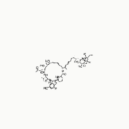 CC[C@H]1C[C@@H]2C[C@H]3[C@@H](O)[C@@H](C)[C@H](C[C@H](O)[C@@H](C)CC/C=C/C=C(\C)[C@@H]4C/C=C/C=C/[C@H](O)[C@H](C)[C@@H](O)[C@@H](CCC(C)=O)C(=O)N[C@@H](C(C)C)C(=O)NC(c5cc(O)cc(F)c5)C(=O)N5CCCC(N5)C(=O)O4)O[C@]23NC1=O